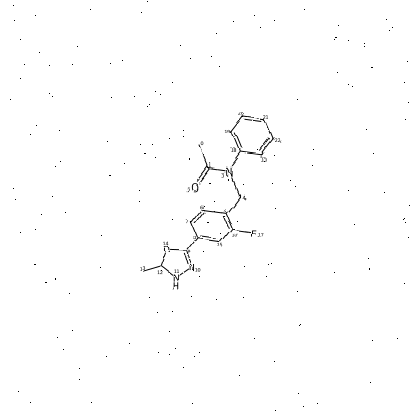 CC(=O)N(Cc1ccc(C2=NNC(C)O2)cc1F)c1ccccc1